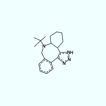 CC(C)(C)N1Cc2ccccc2-c2nn[nH]c2C2CCCCC21